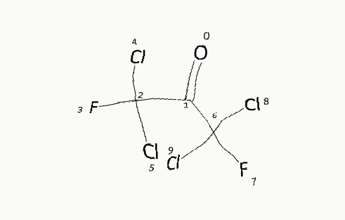 O=C(C(F)(Cl)Cl)C(F)(Cl)Cl